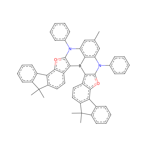 Cc1cc2c3c(c1)N(c1ccccc1)c1oc4c5c(ccc4c1B3c1c(oc3c4c(ccc13)C(C)(C)c1ccccc1-4)N2c1ccccc1)C(C)(C)c1ccccc1-5